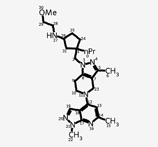 CCCC1(Cn2nc(C)c3c2CCN(c2cc(C)nc4c2cnn4C)C3)CCC(NCCOC)C1